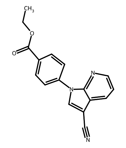 CCOC(=O)c1ccc(-n2cc(C#N)c3cccnc32)cc1